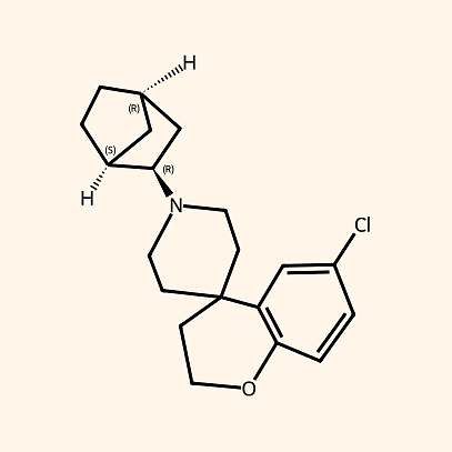 Clc1ccc2c(c1)C1(CCO2)CCN([C@@H]2C[C@@H]3CC[C@H]2C3)CC1